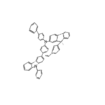 C=Cc1ccc([C@]2(C)c3ccccc3-c3ccc(N(c4ccc(-c5ccccc5)cc4)c4ccc(-c5ccc6c(c5)c5ccccc5n6-c5ccccc5)cc4)cc32)cc1